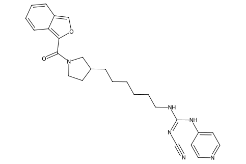 N#CN=C(NCCCCCCC1CCN(C(=O)c2occ3ccccc23)C1)Nc1ccncc1